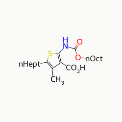 CCCCCCCCOC(=O)Nc1sc(CCCCCCC)c(C)c1C(=O)O